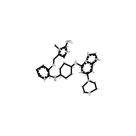 Cn1c(COc2cccnc2NC2CCC(Oc3nc(N4CCOCC4)cc4ncnn34)CC2)cnc1[N+](=O)[O-]